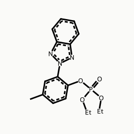 CCOP(=O)(OCC)Oc1ccc(C)cc1-n1nc2ccccc2n1